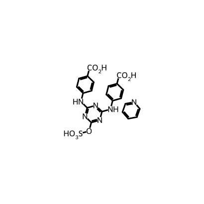 O=C(O)c1ccc(Nc2nc(Nc3ccc(C(=O)O)cc3)nc(OS(=O)(=O)O)n2)cc1.c1ccncc1